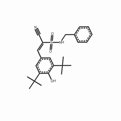 CC(C)(C)c1cc(C=C(C#N)S(=O)(=O)NCc2ccccc2)cc(C(C)(C)C)c1O